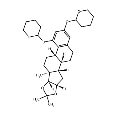 CC1(C)O[C@H]2C[C@H]3[C@H]4CCc5cc(OC6CCCCO6)cc(OC6CCCCO6)c5[C@H]4CC[C@]3(C)[C@H]2O1